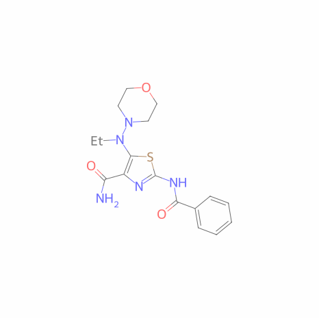 CCN(c1sc(NC(=O)c2ccccc2)nc1C(N)=O)N1CCOCC1